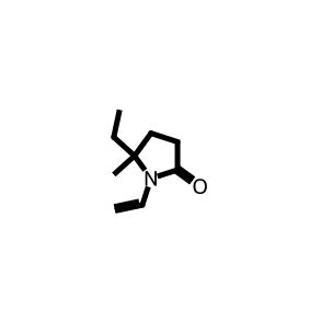 C=CN1C(=O)CCC1(C)CC